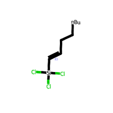 CCCCCC/C=C/[Si](Cl)(Cl)Cl